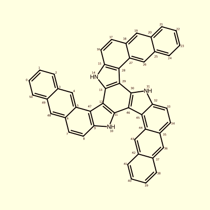 c1ccc2cc3c(ccc4[nH]c5c(c6[nH]c7ccc8cc9ccccc9cc8c7c6c6[nH]c7ccc8cc9ccccc9cc8c7c56)c43)cc2c1